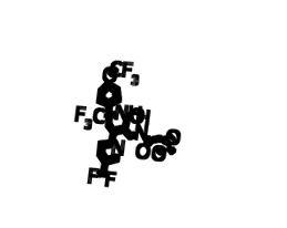 CS(=O)(=O)CC(=O)NCC1=C(c2ccc(C(F)F)cn2)C[C@@](c2ccc(OC(F)(F)F)cc2)(C(F)(F)F)NC1=O